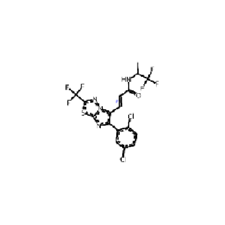 CC(NC(=O)/C=C/c1c(-c2cc(Cl)ccc2Cl)nc2sc(C(F)(F)F)nn12)C(F)(F)F